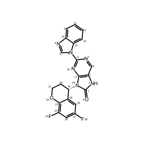 O=c1[nH]c2cnc(-n3cnc4ccccc43)nc2n1[C@H]1CCOc2c(F)cc(F)cc21